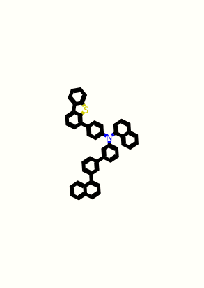 c1cc(-c2cccc(N(c3ccc(-c4cccc5c4sc4ccccc45)cc3)c3cccc4ccccc34)c2)cc(-c2cccc3ccccc23)c1